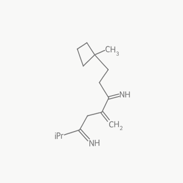 C=C(CC(=N)C(C)C)C(=N)CCC1(C)CCC1